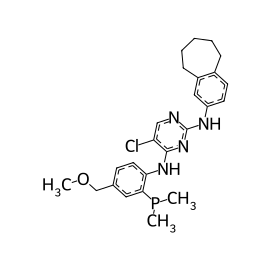 COCc1ccc(Nc2nc(Nc3ccc4c(c3)CCCCC4)ncc2Cl)c(P(C)C)c1